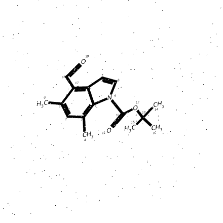 Cc1cc(C)c2c(ccn2C(=O)OC(C)(C)C)c1C=O